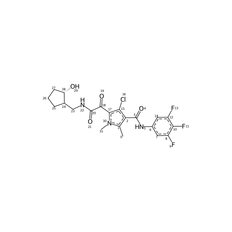 Cc1c(C(=O)Nc2cc(F)c(F)c(F)c2)c(Cl)c(C(=O)C(=O)NCC2CCC[C@@H]2O)n1C